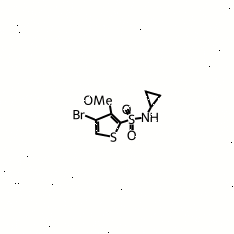 COc1c(Br)csc1S(=O)(=O)NC1CC1